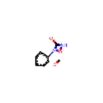 C=O.O=c1[nH]on1-c1ccccc1